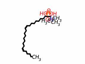 CCCCC/C=C\CCCCCCC/C=C\CCCCCCCCC(O)(C[N+](C)(C)C)P(=O)(O)O